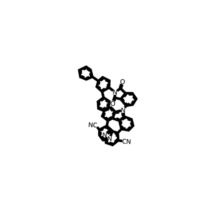 N#Cc1ccncc1-c1cccc2c1c1c(-c3cnccc3C#N)cccc1n2-c1cccc2c1C(=O)N(c1ccc(-c3ccccc3)cc1-c1ccccc1)C2=O